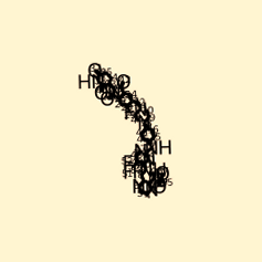 CN(c1nccnc1CNc1nc(Nc2ccc(N3CCN(Cc4cc5c(cc4F)C(=O)N(C4CCC(=O)NC4=O)C5=O)CC3)cc2)ncc1C(F)(F)F)S(C)(=O)=O